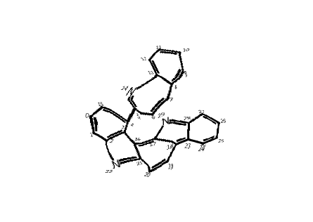 c1cc2c(c(-c3ccc4ccccc4n3)c1)-c1c3c(ccc1=N2)=c1ccccc1=N3